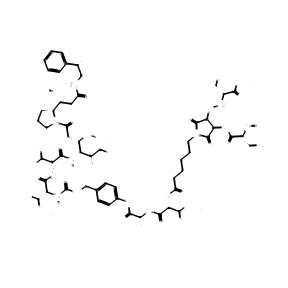 CC[C@@H](C)[C@@H]([C@@H](CC(=O)N1CCC[C@H]1[C@H](OC)[C@@H](C)C(=O)N[C@@H](C)[C@H](O)c1ccccc1)OC)N(C)C(=O)[C@@H](NC(=O)[C@H](C(C)C)N(C)C(=O)OCc1ccc(NC(=O)[C@@H](C)NC(=O)[C@H](NC(=O)CCCCCN2C(=O)C(SN[C@@H](CS)C(C)=O)C(SC(=O)[C@H](CS)NC)C2=O)C(C)C)cc1)C(C)C